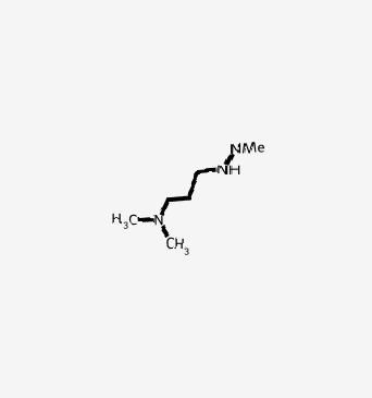 CNNCCCN(C)C